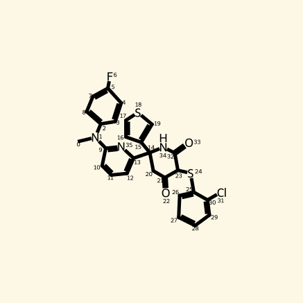 CN(c1ccc(F)cc1)c1cccc(C2(c3ccsc3)CC(=O)C(Sc3ccccc3Cl)C(=O)N2)n1